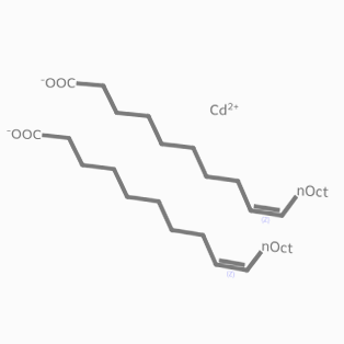 CCCCCCCC/C=C\CCCCCCCC(=O)[O-].CCCCCCCC/C=C\CCCCCCCC(=O)[O-].[Cd+2]